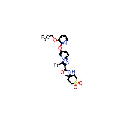 CCc1c(C(=O)NC2(C)CCS(=O)(=O)CC2)nc2ccc(Oc3ncccc3OCC(F)(F)F)cn12